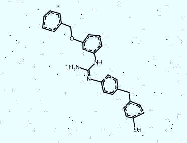 NC(=Nc1ccc(Cc2ccc(S)cc2)cc1)Nc1cccc(OCc2ccccc2)c1